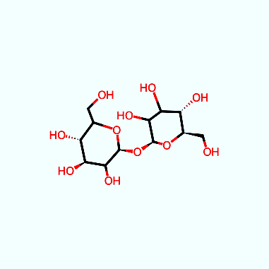 OCC1O[C@@H](O[C@@H]2O[C@H](CO)[C@@H](O)C(O)C2O)C(O)[C@@H](O)[C@@H]1O